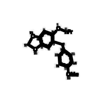 CCCOc1cc2c(cc1Cc1ccc(OC)cc1)OCO2